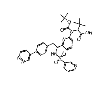 CC(C)(C)OC(=O)N(c1cccc(C(Cc2ccc(-c3ccnnc3)cc2)NS(=O)(=O)c2cccnc2)n1)C(C(=O)O)C(C)(C)C